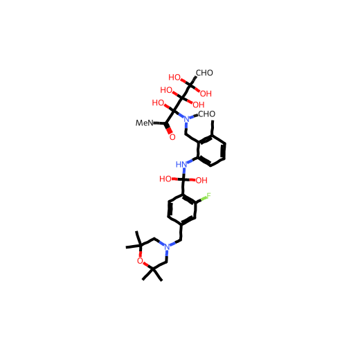 CNC(=O)C(O)(N(C=O)Cc1c(C)cccc1NC(O)(O)c1ccc(CN2CC(C)(C)OC(C)(C)C2)cc1F)C(O)(O)C(O)(O)C=O